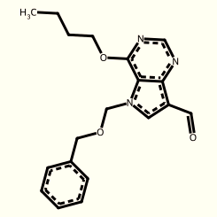 CCCCOc1ncnc2c(C=O)cn(COCc3ccccc3)c12